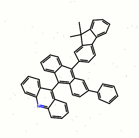 CC1(C)c2ccccc2-c2ccc(-c3c4ccccc4c(-c4c5ccccc5nc5ccccc45)c4ccc(-c5ccccc5)cc34)cc21